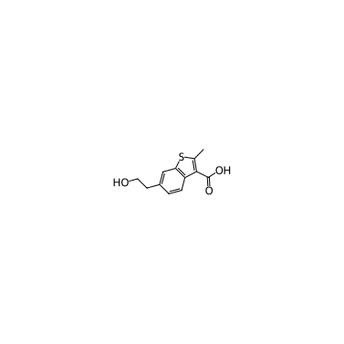 Cc1sc2cc(CCO)ccc2c1C(=O)O